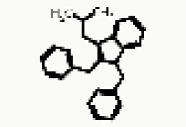 CC(C)CC1=C(Cc2ccccc2)C(Cc2ccccc2)c2ccccc21